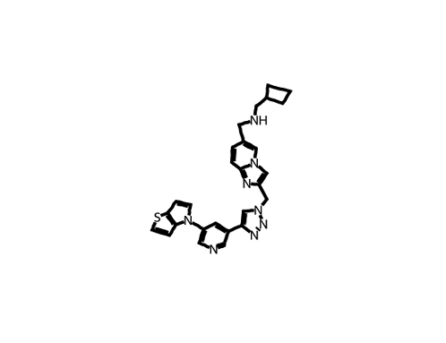 c1cc2c(ccn2-c2cncc(-c3cn(Cc4cn5cc(CNCC6CCC6)ccc5n4)nn3)c2)s1